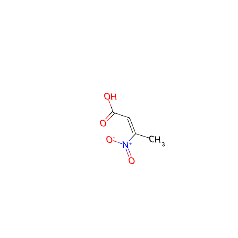 CC(=CC(=O)O)[N+](=O)[O-]